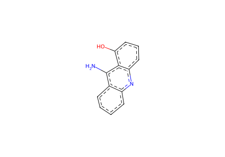 Nc1c2ccccc2nc2cccc(O)c12